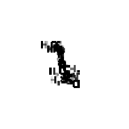 CC(=O)Nc1cc(COc2ccc(C(C)(C)c3cc(C)c(OCCCl)c(C#N)c3)cc2)co1